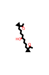 CC(=O)C1(CCCCC(O)CCCCC2(C(C)=O)CC2)CC1